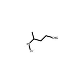 CC(C)NC(C)CCC=O